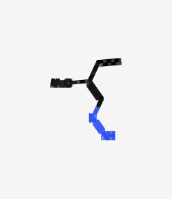 C=C/C(=C/N=N)OC